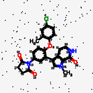 Cc1cc(Cl)ccc1Oc1ccc(N2C(=O)CCC2=O)cc1-c1cn(C)c2c(=O)[nH]ccc12